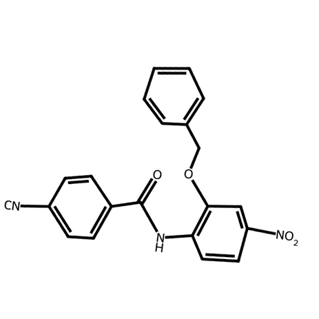 [C-]#[N+]c1ccc(C(=O)Nc2ccc([N+](=O)[O-])cc2OCc2ccccc2)cc1